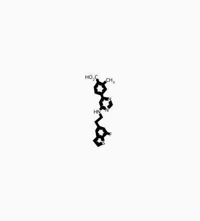 Cc1cc(-c2cc(NCCc3cc(F)c4sccc4c3)ncn2)ccc1C(=O)O